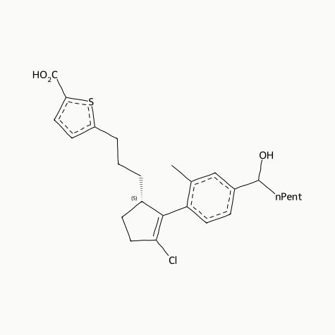 CCCCCC(O)c1ccc(C2=C(Cl)CC[C@@H]2CCCc2ccc(C(=O)O)s2)c(C)c1